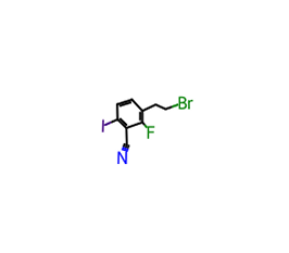 N#Cc1c(I)ccc(CCBr)c1F